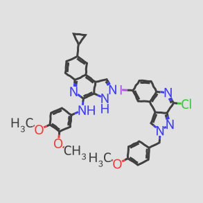 COc1ccc(Cn2cc3c(n2)c(Cl)nc2ccc(I)cc23)cc1.COc1ccc(Nc2nc3ccc(C4CC4)cc3c3cn[nH]c23)cc1OC